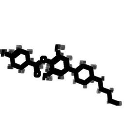 CCCCCC1CCC(c2cc(F)c(OC(=O)C3CC=C(F)CC3)c(F)c2)CC1